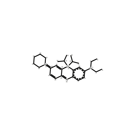 CCN(CC)c1ccc2c(c1)[Si](C(C)C)(C(C)C)C1=CC(=[N+]3CCCCC3)C=CC1=N2